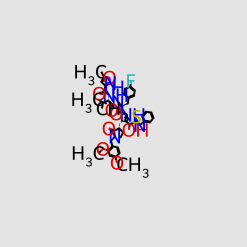 COc1ccc(CN2CC[C@@H](C[C@H](NC(=O)[C@H](Cc3ccc(F)cc3)NC(=O)[C@@H](NC(=O)c3cc(C)on3)C(C)C)C(O)c3nc4ccccc4s3)C2=O)c(OC)c1